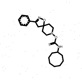 S=C(NC1CCCCCCC1)ON1CCC2(CC1)CC(c1ccccc1)=NO2